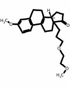 COCCOCCCC12CCC3=C(CCc4cc(OC)ccc43)[C@@H]1CCC2=O